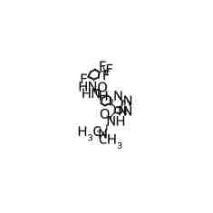 CN(C)CCNC(=O)c1cn2ncnc(N)c2c1-c1ccc(NC(=O)Nc2cc(C(F)(F)F)ccc2F)cc1